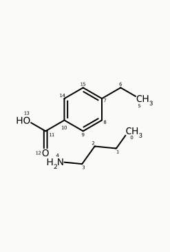 CCCCN.CCc1ccc(C(=O)O)cc1